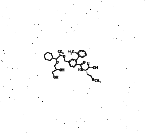 CSCC[C@H](NC(=O)c1ccc(COC(C)C(OCC(O)CO)C2CCCCC2)cc1-c1ccccc1C)C(=O)O